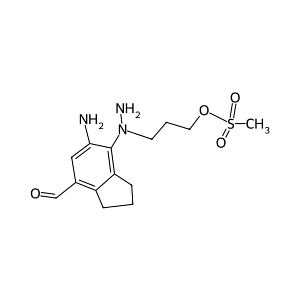 CS(=O)(=O)OCCCN(N)c1c(N)cc(C=O)c2c1CCC2